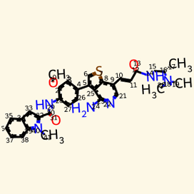 COc1cc(-c2csc3c(/C=C/C(=O)NC[C@H](C)N(C)C)cnc(N)c23)ccc1NC(=O)c1cc2ccccc2n1C